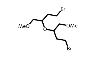 COCC(CCBr)OC(CCBr)COC